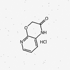 Cl.O=C1COc2ncccc2N1